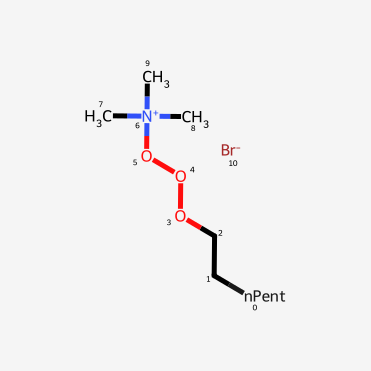 CCCCCCCOOO[N+](C)(C)C.[Br-]